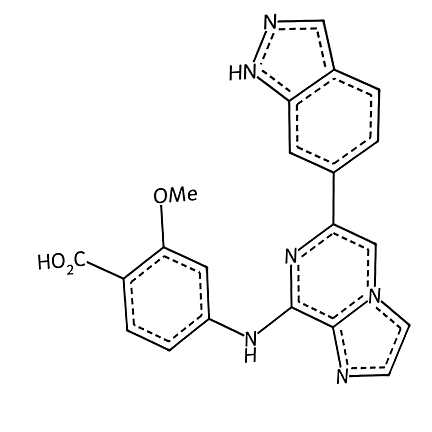 COc1cc(Nc2nc(-c3ccc4cn[nH]c4c3)cn3ccnc23)ccc1C(=O)O